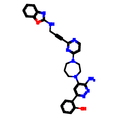 Nc1nnc(-c2ccccc2O)cc1N1CCCN(c2ccnc(C#CCNc3nc4ccccc4o3)n2)CC1